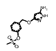 CS(=O)(=O)Oc1cccc(COc2cc(N)[nH]n2)c1